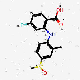 Cc1cc([S+](C)[O-])ccc1Nc1cc(F)ccc1C(=O)O